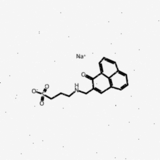 O=C1C(CNCCCS(=O)(=O)[O-])=Cc2cccc3cccc1c23.[Na+]